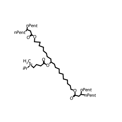 CCCCCC(CCCCC)CC(=O)OCCCCCCCCCCC(CCCCCCCCOC(=O)CC(CCCCC)CCCCC)OC(=O)CCCN(C)C(C)C